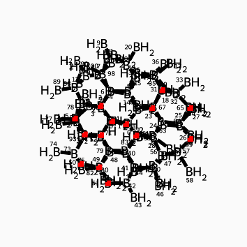 BBB(B(B)B)B(B(B(B)B)B(B)B)B(B(B(B)B)B(B)B)B(B(B(B(B)B)B(B)B)B(B(B)B)B(B)B)B(B(B(B(B(B)B)B(B)B)B(B(B)B)B(B)B)B(B(B(B)B)B(B)B)B(B(B)B)B(B)B)B(B(B(B(B)B)B(B)B)B(B(B)B)B(B)B)B(B(B(B)B)B(B)B)B(B(B)B)B(B)B